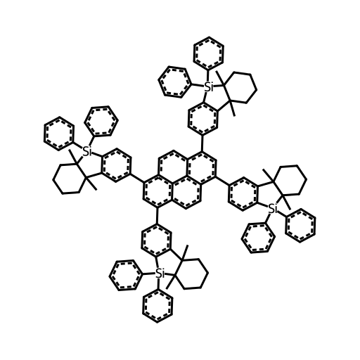 CC12CCCCC1(C)[Si](c1ccccc1)(c1ccccc1)c1ccc(-c3cc(-c4ccc5c(c4)C4(C)CCCCC4(C)[Si]5(c4ccccc4)c4ccccc4)c4ccc5c(-c6ccc7c(c6)C6(C)CCCCC6(C)[Si]7(c6ccccc6)c6ccccc6)cc(-c6ccc7c(c6)C6(C)CCCCC6(C)[Si]7(c6ccccc6)c6ccccc6)c6ccc3c4c65)cc12